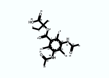 CCC(C)(OC(=O)c1c(I)c(NC(C)=O)c(I)c(NC(C)=O)c1I)C(=O)O